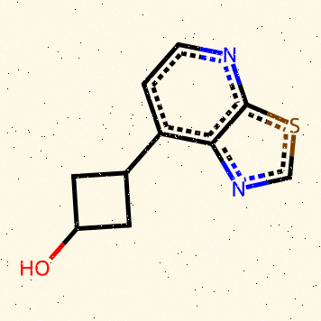 OC1CC(c2ccnc3scnc23)C1